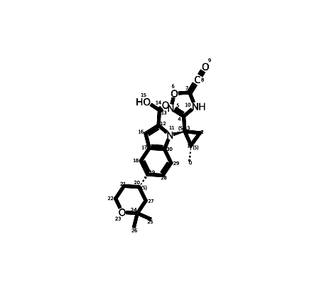 C[C@H]1C[C@]1(C1=NOC(=C=O)N1)n1c(C(=O)O)cc2cc([C@H]3CCOC(C)(C)C3)ccc21